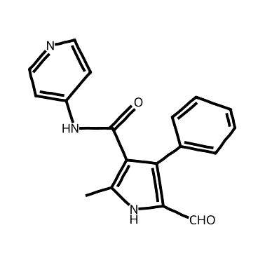 Cc1[nH]c(C=O)c(-c2ccccc2)c1C(=O)Nc1ccncc1